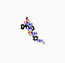 CCOC(=O)N[C@H](C(=S)N1CCC[C@H]1C(=O)NCC1CCC(N)CC1)C(C)(C)C1CCCC1